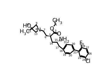 CCOC(=O)[C@H](CCN1CC(C)(O)C1)C[C@H](N)Cc1ccc(-c2cc(Cl)ccc2F)cc1